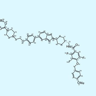 COc1ccc(COc2c(F)cc(C(=O)NC[C@H]3CC[C@H](n4cc5ccc(-c6cnc(OCCN7CCN(C(=O)OC(C)(C)C)CC7)nc6)cc5n4)CC3)c(F)c2F)cc1